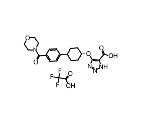 O=C(O)C(F)(F)F.O=C(O)c1[nH]nnc1O[C@H]1CC[C@H](c2ccc(C(=O)N3CCOCC3)cc2)CC1